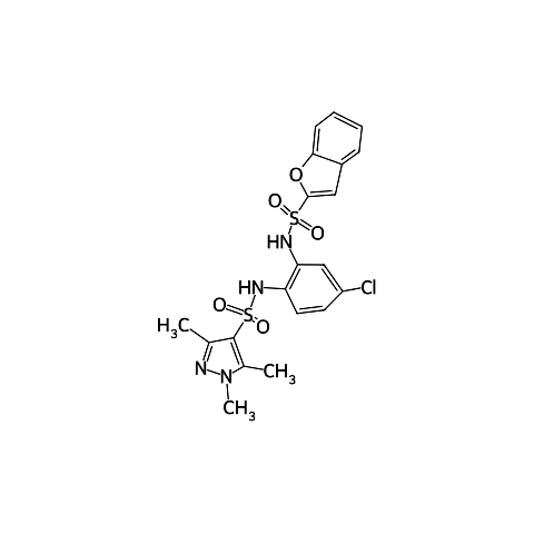 Cc1nn(C)c(C)c1S(=O)(=O)Nc1ccc(Cl)cc1NS(=O)(=O)c1cc2ccccc2o1